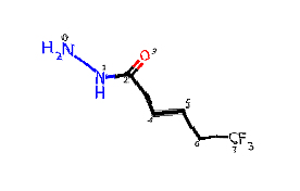 NNC(=O)CCCC(F)(F)F